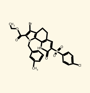 CCOC(=O)c1c(Br)c2c(n1Cc1cccc(C)c1)-c1[nH]c(=O)c(S(=O)(=O)c3ccc(Cl)cc3)cc1CC2